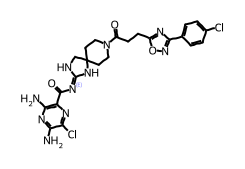 Nc1nc(N)c(C(=O)/N=C2\NCC3(CCN(C(=O)CCc4nc(-c5ccc(Cl)cc5)no4)CC3)N2)nc1Cl